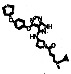 CN(CC=CC(=O)N1CCC(Nc2n[nH]c3ncnc(Oc4ccc(Oc5ccccc5)cc4)c23)C1)C1CC1